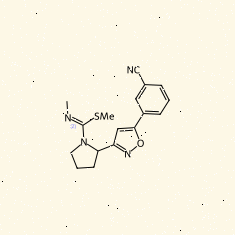 C/N=C(\SC)N1CCCC1c1cc(-c2cccc(C#N)c2)on1